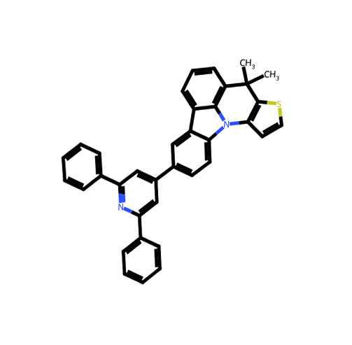 CC1(C)c2sccc2-n2c3ccc(-c4cc(-c5ccccc5)nc(-c5ccccc5)c4)cc3c3cccc1c32